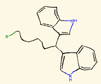 BrCCCCC(c1c[nH]c2ccccc12)c1c[nH]c2ccccc12